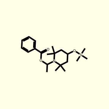 CC(OC(=O)c1ccccc1)N1C(C)(C)CC(O[Si](C)(C)C)CC1(C)C